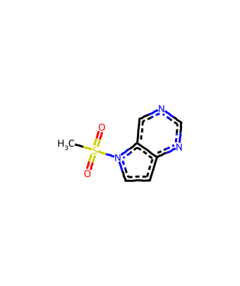 CS(=O)(=O)n1ccc2ncncc21